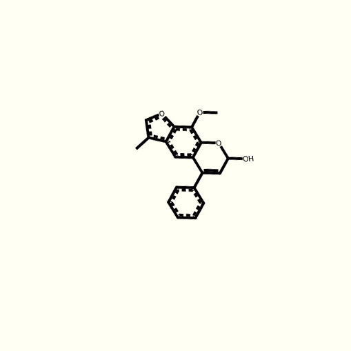 COc1c2c(cc3c(C)coc13)C(c1ccccc1)=CC(O)O2